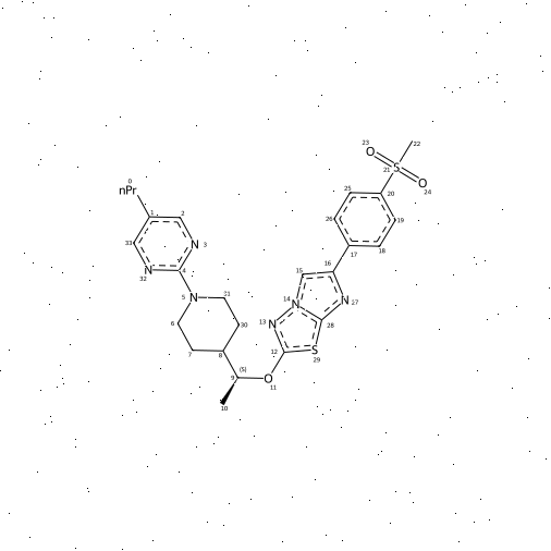 CCCc1cnc(N2CCC([C@H](C)Oc3nn4cc(-c5ccc(S(C)(=O)=O)cc5)nc4s3)CC2)nc1